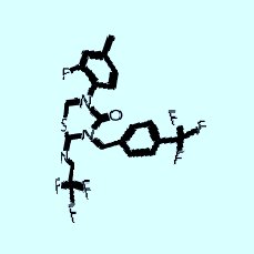 Cc1ccc(N2CS/C(=N/CC(F)(F)F)N(Cc3ccc(C(F)(F)F)cc3)C2=O)c(F)c1